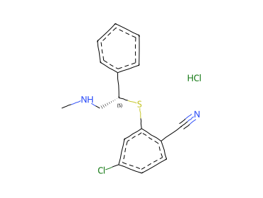 CNC[C@@H](Sc1cc(Cl)ccc1C#N)c1ccccc1.Cl